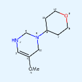 COC1=CNCN(C2CCOCC2)C1